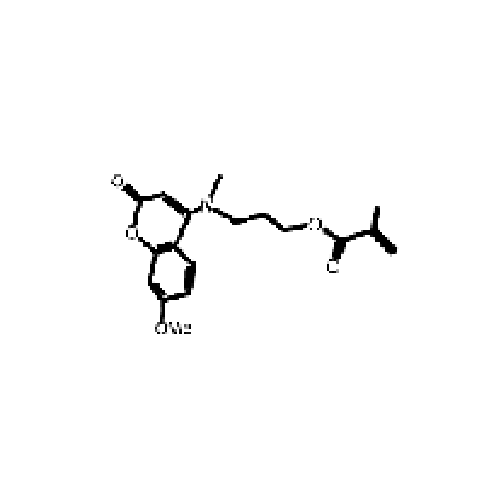 C=C(C)C(=O)OCCCN(C)c1cc(=O)oc2cc(OC)ccc12